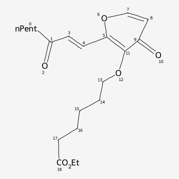 CCCCCC(=O)C=Cc1occc(=O)c1OCCCCCC(=O)OCC